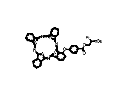 CCCCC(CC)COC(=O)c1ccc(Oc2cccc3c4nc5nc(nc6[nH]c(nc7nc(nc([nH]4)c23)-c2ccccc2-7)c2ccccc62)-c2ccccc2-5)cc1